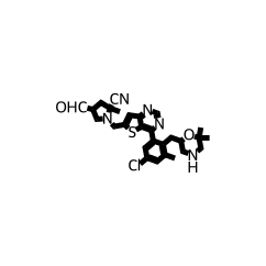 Cc1cc(Cl)cc(-c2ncnc3cc(CN4CC(C=O)CC4(C)C#N)sc23)c1CC1CNCC(C)(C)O1